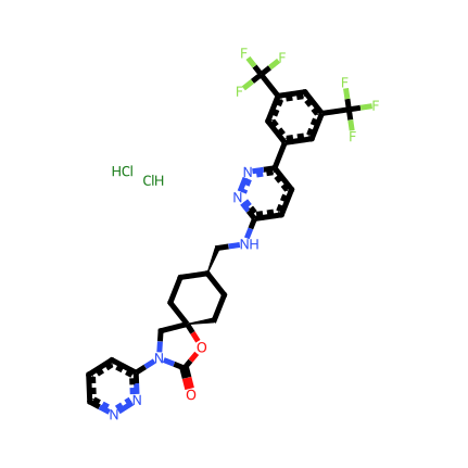 Cl.Cl.O=C1O[C@]2(CC[C@H](CNc3ccc(-c4cc(C(F)(F)F)cc(C(F)(F)F)c4)nn3)CC2)CN1c1cccnn1